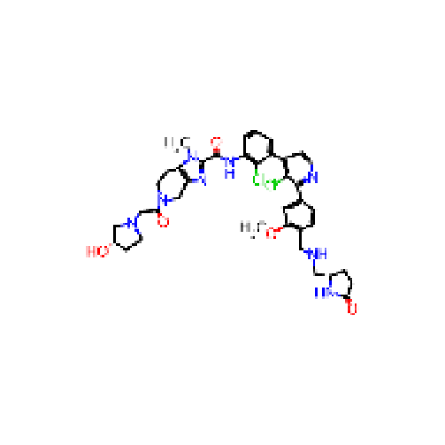 COc1cc(-c2nccc(-c3cccc(NC(=O)c4nc5c(n4C)CCN(C(=O)CN4CC[C@H](O)C4)C5)c3Cl)c2Cl)ccc1CNC[C@H]1CCC(=O)N1